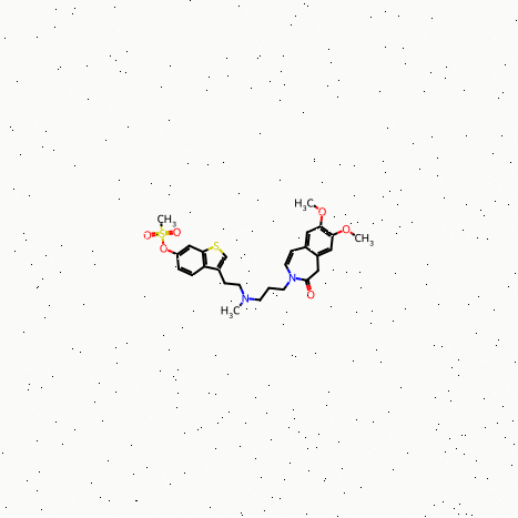 COc1cc2c(cc1OC)CC(=O)N(CCCN(C)CCc1csc3cc(OS(C)(=O)=O)ccc13)C=C2